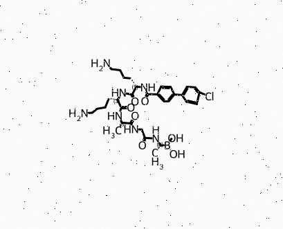 C[C@H](NC(=O)CNC(=O)[C@H](C)NC(=O)[C@H](CCCCN)NC(=O)[C@H](CCCCN)NC(=O)c1ccc(-c2ccc(Cl)cc2)cc1)B(O)O